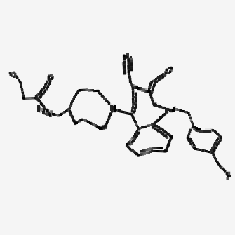 N#Cc1c(N2CCC(NC(=O)CCl)CC2)c2ccccc2n(Cc2ccc(F)cc2)c1=O